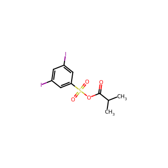 CC(C)C(=O)OS(=O)(=O)c1cc(I)cc(I)c1